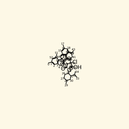 Cc1cc(C)c(C(=O)P(=O)(C(=O)c2c(C)cc(C)cc2C)C(C(=O)OC2CCC(C)CC2C(C)C)C(Cl)(C(=O)O)C2CC(C)CCC2C(C)C)c(C)c1